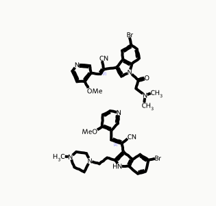 COc1ccncc1/C=C(\C#N)c1c(CCN2CCN(C)CC2)[nH]c2ccc(Br)cc12.COc1ccncc1/C=C(\C#N)c1cn(C(=O)CN(C)C)c2ccc(Br)cc12